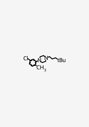 Cc1ccc(Cl)cc1N1CCN(CCCC(C)(C)C)CC1